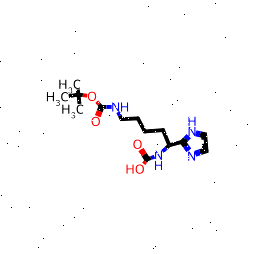 CC(C)(C)OC(=O)NCCCCC(NC(=O)O)c1ncc[nH]1